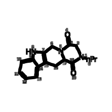 CCCN1CC(=O)N2Cc3[nH]c4ccccc4c3CC2C1=O